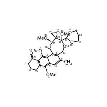 COc1c2c(c(OC(C)=O)c3c4c(c(C)cc13)COC(OC)(C1OCCCO1)[C@]1(CO1)[C@H](OC)O4)C(=O)CCC2